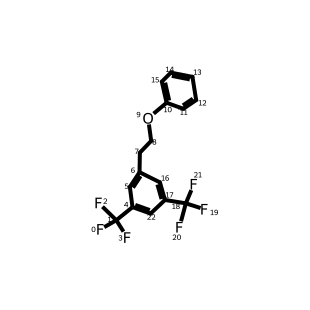 FC(F)(F)c1cc(CCOc2[c]cccc2)cc(C(F)(F)F)c1